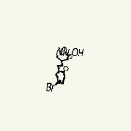 NCC(CC(=O)O)c1cc2cc(Br)ccc2o1